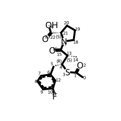 CC(=O)S[C@H](Cc1cccc(F)c1)[C@@H](C)C(=O)N1CCC[C@H]1C(=O)O